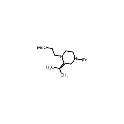 COCCN1CCN(C(C)C)CC1=C(C)C